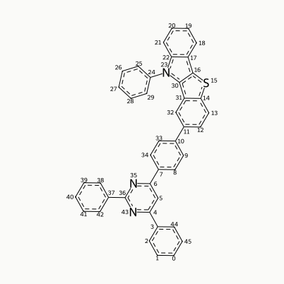 c1ccc(-c2cc(-c3ccc(-c4ccc5sc6c7ccccc7n(-c7ccccc7)c6c5c4)cc3)nc(-c3ccccc3)n2)cc1